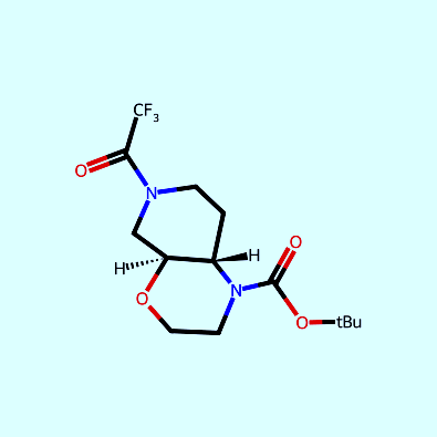 CC(C)(C)OC(=O)N1CCO[C@H]2CN(C(=O)C(F)(F)F)CC[C@@H]21